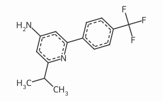 CC(C)c1cc(N)cc(-c2ccc(C(F)(F)F)cc2)n1